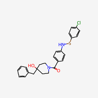 O=C(c1ccc(NSc2ccc(Cl)cc2)cc1)N1CCC(O)(Cc2ccccc2)CC1